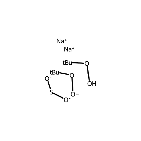 CC(C)(C)OO.CC(C)(C)OO.[Na+].[Na+].[O-]S[O-]